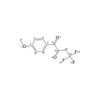 COc1ccc(C(=O)C(=O)CC(F)(F)F)cc1